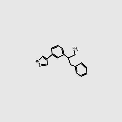 NCC(Cc1ccccc1)c1cccc(-c2cn[nH]c2)c1